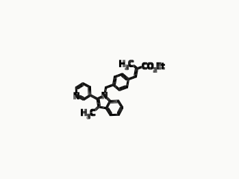 CCOC(=O)/C(C)=C/c1ccc(Cn2c(-c3cccnc3)c(C)c3ccccc32)cc1